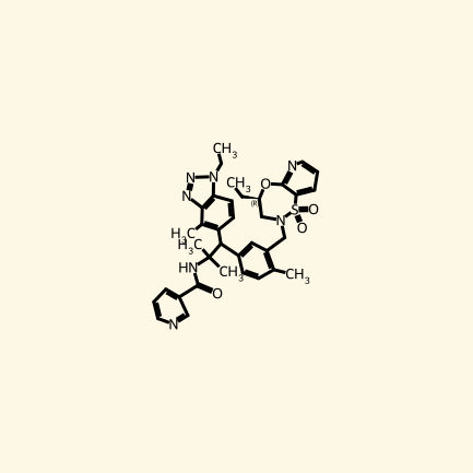 CC[C@@H]1CN(Cc2cc(C(c3ccc4c(nnn4CC)c3C)C(C)(C)NC(=O)c3cccnc3)ccc2C)S(=O)(=O)c2cccnc2O1